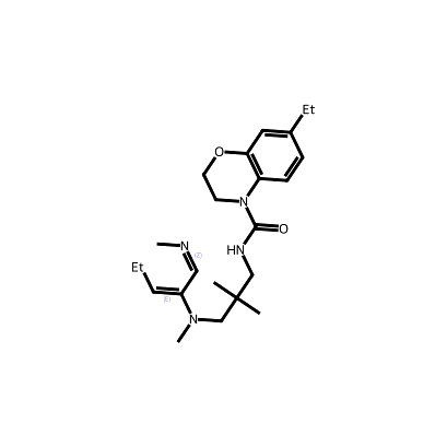 CC/C=C(\C=N/C)N(C)CC(C)(C)CNC(=O)N1CCOc2cc(CC)ccc21